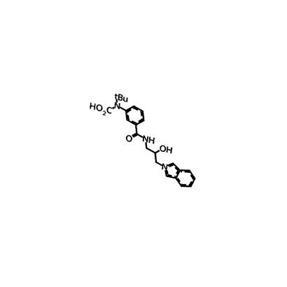 CC(C)(C)N(C(=O)O)c1cccc(C(=O)NCC(O)Cn2cc3ccccc3c2)c1